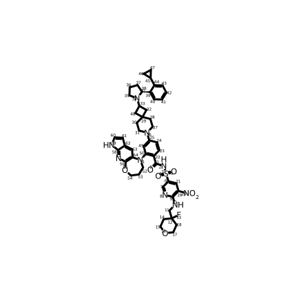 O=C(NS(=O)(=O)c1cnc(NCC2(F)CCOCC2)c([N+](=O)[O-])c1)c1ccc(N2CCC3(CC2)CC(N2CCC[C@H]2c2ccccc2C2CC2)C3)cc1N1CCCOc2nc3[nH]ccc3cc21